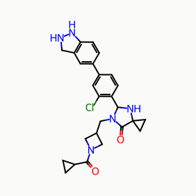 O=C(C1CC1)N1CC(CN2C(=O)C3(CC3)NC2c2ccc(-c3ccc4c(c3)CNN4)cc2Cl)C1